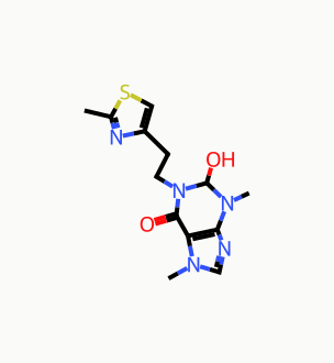 Cc1nc(CCN2C(=O)c3c(ncn3C)N(C)C2O)cs1